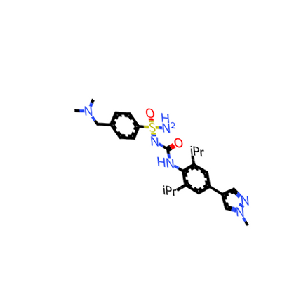 CC(C)c1cc(-c2cnn(C)c2)cc(C(C)C)c1NC(=O)N=S(N)(=O)c1ccc(CN(C)C)cc1